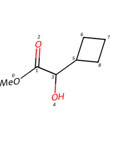 COC(=O)C(O)C1CCC1